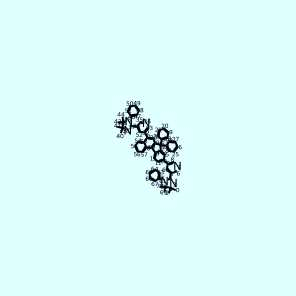 CC1(C)N=C(c2cncc(-c3ccc4c(c3)C(c3ccccc3)(c3ccccc3)c3cc(-c5cncc(C6=NC(C)(C)C(C)(C)N6c6ccccc6)c5)c5ccccc5c3-4)c2)N(c2ccccc2)C1(C)C